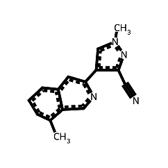 Cc1cccc2cc(-c3cn(C)nc3C#N)ncc12